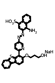 Nc1c(N=Nc2ccc(-c3c(OCCCO)ccc4c3sc3ccccc34)nc2)cc(S(=O)(=O)O)c2ccccc12.[NaH]